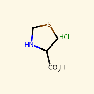 Cl.O=C(O)C1CSCN1